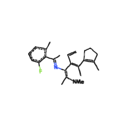 C=CC(=C(/C)C1=C(C)CCC1)/C(/N=C(\C)c1c(C)cccc1F)=C(/C)NC